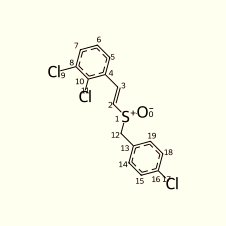 [O-][S+](C=Cc1cccc(Cl)c1Cl)Cc1ccc(Cl)cc1